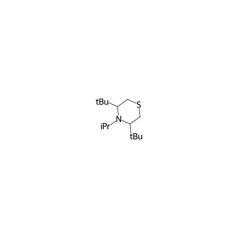 CC(C)N1C(C(C)(C)C)CSCC1C(C)(C)C